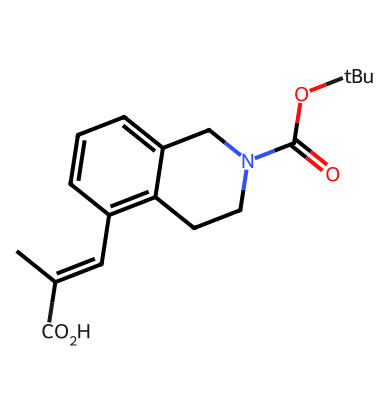 CC(=Cc1cccc2c1CCN(C(=O)OC(C)(C)C)C2)C(=O)O